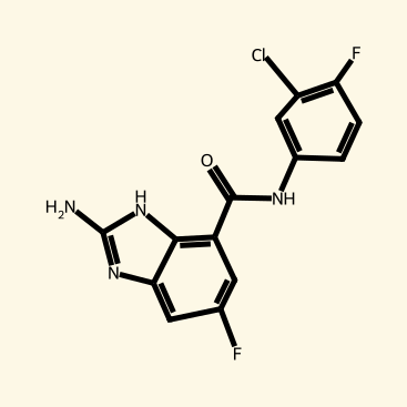 Nc1nc2cc(F)cc(C(=O)Nc3ccc(F)c(Cl)c3)c2[nH]1